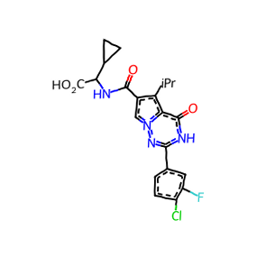 CC(C)c1c(C(=O)NC(C(=O)O)C2CC2)cn2nc(-c3ccc(Cl)c(F)c3)[nH]c(=O)c12